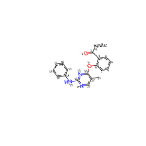 CNC(=O)c1ccccc1Oc1nc(Nc2ccccc2)ncc1C